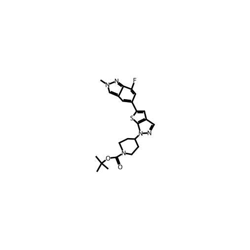 Cn1cc2cc(-c3cc4cnn(C5CCN(C(=O)OC(C)(C)C)CC5)c4s3)cc(F)c2n1